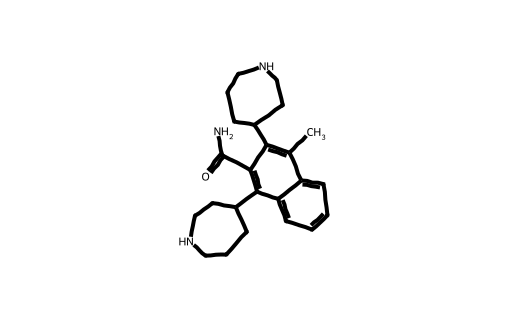 Cc1c(C2CCCNCC2)c(C(N)=O)c(C2CCCNCC2)c2ccccc12